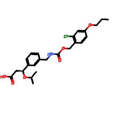 CCCOc1ccc(COC(=O)NCc2cccc([C@H](CC(=O)O)OC(C)C)c2)c(Cl)c1